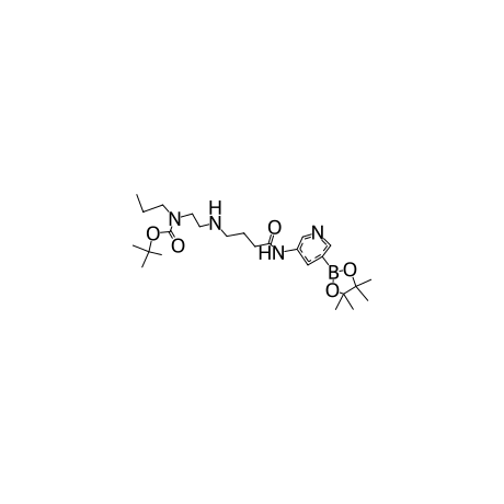 CCCN(CCNCCCC(=O)Nc1cncc(B2OC(C)(C)C(C)(C)O2)c1)C(=O)OC(C)(C)C